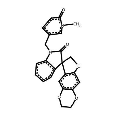 Cn1cc(CN2C(=O)C3(COc4cc5c(cc43)OCCO5)c3ccccc32)ccc1=O